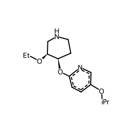 CCO[C@H]1CNCC[C@H]1Oc1ccc(OC(C)C)cn1